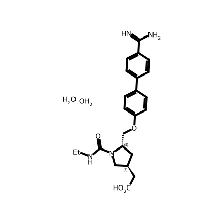 CCNC(=O)N1C[C@H](CC(=O)O)C[C@H]1COc1ccc(-c2ccc(C(=N)N)cc2)cc1.O.O